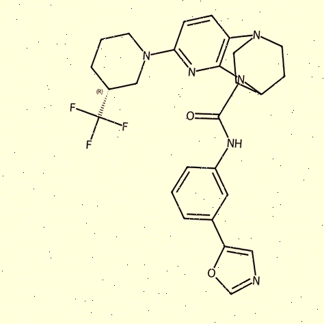 O=C(Nc1cccc(-c2cnco2)c1)N1c2nc(N3CCC[C@@H](C(F)(F)F)C3)ccc2N2CCC1CC2